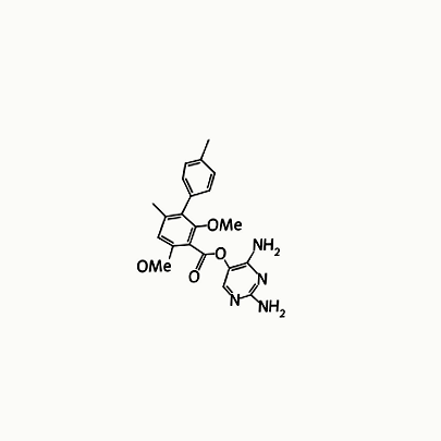 COc1cc(C)c(-c2ccc(C)cc2)c(OC)c1C(=O)Oc1cnc(N)nc1N